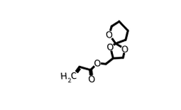 C=CC(=O)OCC1COC2(CCCCO2)O1